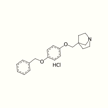 Cl.c1ccc(COc2ccc(OCC34CCN(CC3)C4)cc2)cc1